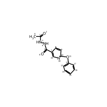 CC(=O)NNC(=O)c1ccc(Oc2ccccc2)nc1